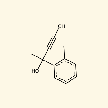 Cc1ccccc1C(C)(O)C#CO